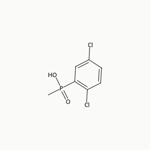 CP(=O)(O)c1cc(Cl)ccc1Cl